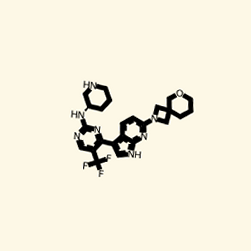 FC(F)(F)c1cnc(N[C@H]2CCCNC2)nc1-c1c[nH]c2nc(N3CC4(CCCOC4)C3)ccc12